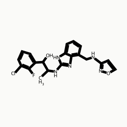 CC(Nc1nc2c(CNc3ccon3)cccc2[nH]1)C(O)c1cccc(Cl)c1F